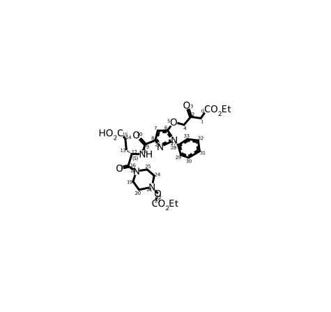 CCOC(=O)CC(=O)COc1cc(C(=O)N[C@@H](CCC(=O)O)C(=O)N2CCN(OC(=O)OCC)CC2)nn1-c1ccccc1